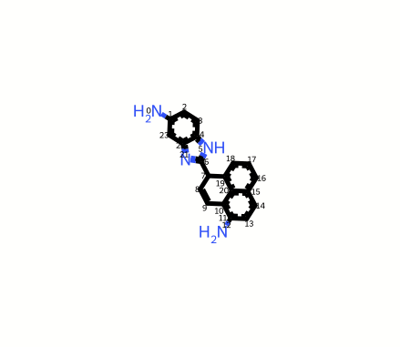 Nc1ccc2[nH]c(C3C=Cc4c(N)ccc5cccc3c45)nc2c1